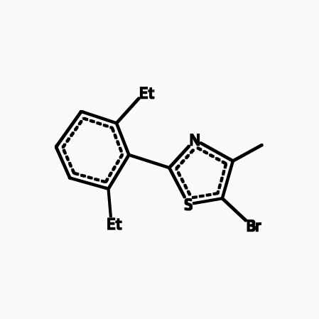 CCc1cccc(CC)c1-c1nc(C)c(Br)s1